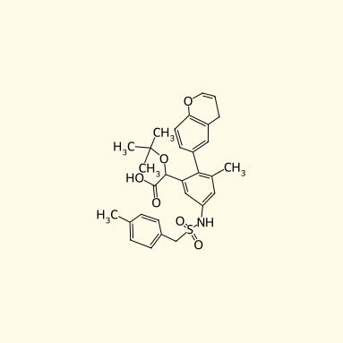 Cc1ccc(CS(=O)(=O)Nc2cc(C)c(-c3ccc4c(c3)CC=CO4)c(C(OC(C)(C)C)C(=O)O)c2)cc1